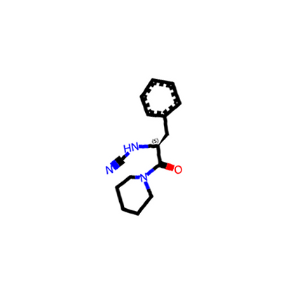 N#CN[C@@H](Cc1ccccc1)C(=O)N1CCCCC1